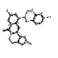 C[C@@H](Nc1ccc(Cl)nc1C(=O)O)c1cc(F)cc2c(=O)n3c(cc12)-c1cn(C)nc1CC3